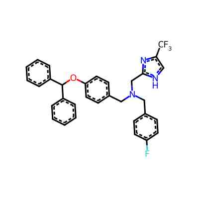 Fc1ccc(CN(Cc2ccc(OC(c3ccccc3)c3ccccc3)cc2)Cc2nc(C(F)(F)F)c[nH]2)cc1